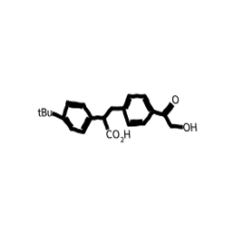 CC(C)(C)c1ccc(C(Cc2ccc(C(=O)CO)cc2)C(=O)O)cc1